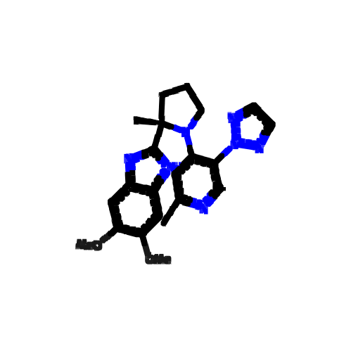 COc1cc2nc([C@]3(C)CCCN3c3cc(C)n[c]c3-n3nccn3)[nH]c2cc1OC